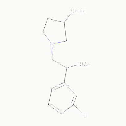 CNC(CN1CCC(NC(C)=O)C1)c1cccc(Cl)c1